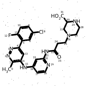 Cc1nnc(-c2cc(Cl)ccc2F)cc1Nc1ccnc(NC(=O)CCN2CCNC(C(=O)O)C2)c1